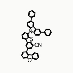 N#Cc1cc(-c2cccc3oc4ccccc4c23)cc2c1sc1c(-n3c4ccc(-c5ccccc5)cc4c4cc(-c5ccccc5)ccc43)cccc12